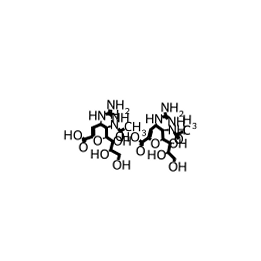 CC(=O)N[C@H]1[C@H]([C@H](O)[C@H](O)CO)OC(C(=O)O)=C[C@@H]1NC(=N)N.CC(=O)N[C@H]1[C@H]([C@H](O)[C@H](O)CO)OC(C(=O)O)=C[C@@H]1NC(=N)N